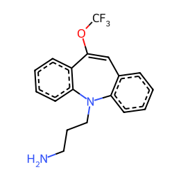 NCCCN1c2ccccc2C=C(OC(F)(F)F)c2ccccc21